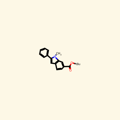 Cn1c(-c2ccccc2)cc2ccc(C(=O)OC(C)(C)C)cc21